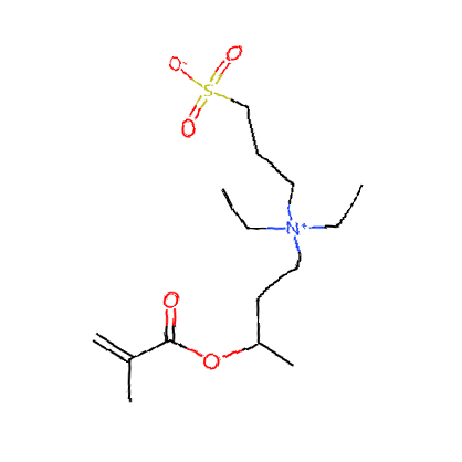 C=C(C)C(=O)OC(C)CC[N+](CC)(CC)CCCS(=O)(=O)[O-]